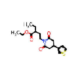 CCOC(=O)C(CC)CCN1C(=O)CC(c2ccsc2)CC1=O